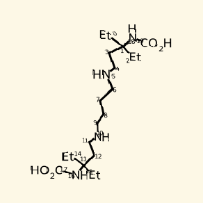 CCC(CC)(CCNCCCCNCCC(CC)(CC)NC(=O)O)NC(=O)O